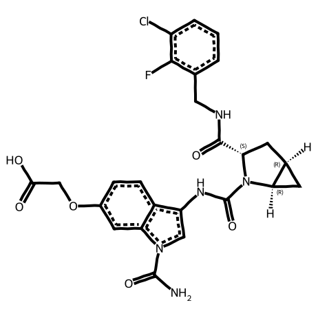 NC(=O)n1cc(NC(=O)N2[C@@H]3C[C@@H]3C[C@H]2C(=O)NCc2cccc(Cl)c2F)c2ccc(OCC(=O)O)cc21